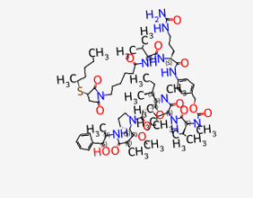 CCCCC(C)SC1CC(=O)N(CCCCCC(=O)N[C@H](C(=O)N[C@@H](CCCNC(N)=O)C(=O)Nc2ccc(COC(=O)N(C)[C@H](C(=O)N[C@H](C(=O)N(C)[C@@H]([C@@H](C)CC)[C@@H](CC(=O)N3CCC[C@H]3[C@H](OC)[C@@H](C)C(=O)N[C@H](C)[C@@H](O)c3ccccc3)OC)C(C)C)C(C)C)cc2)C(C)C)C1=O